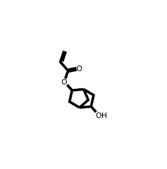 C=CC(=O)OC1CC2CC1CC2O